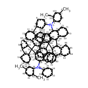 Cc1ccc(N(c2cccc(-c3cccc4c5c(c6ccccc6c34)-c3c(cc(N(c4ccccc4)c4cc(C)ccc4C)c4ccccc34)C53c4ccccc4-c4ccccc43)c2)c2cc3c(c4ccccc24)-c2c(c4ccccc4c4ccccc24)C32c3ccccc3-c3ccccc32)c(C)c1